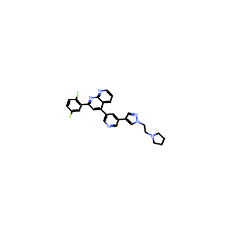 Fc1ccc(F)c(-c2cc(-c3cncc(-c4cnn(CCN5CCCC5)c4)c3)c3cccnc3n2)c1